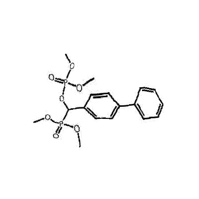 COP(=O)(OC)OC(c1ccc(-c2ccccc2)cc1)P(=O)(OC)OC